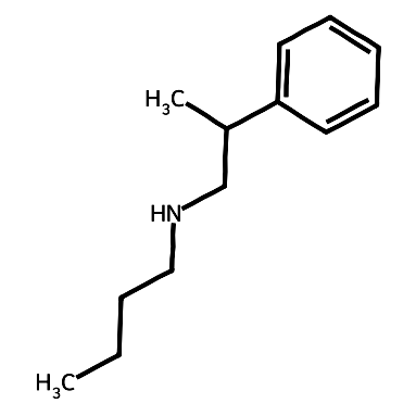 CCCCNCC(C)c1ccccc1